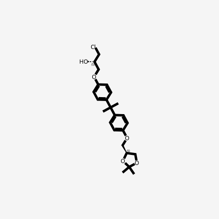 CC1(C)OC[C@H](COc2ccc(C(C)(C)c3ccc(OC[C@H](O)CCl)cc3)cc2)O1